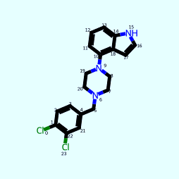 Clc1ccc(CN2CCN(c3cccc4[nH]ccc34)CC2)cc1Cl